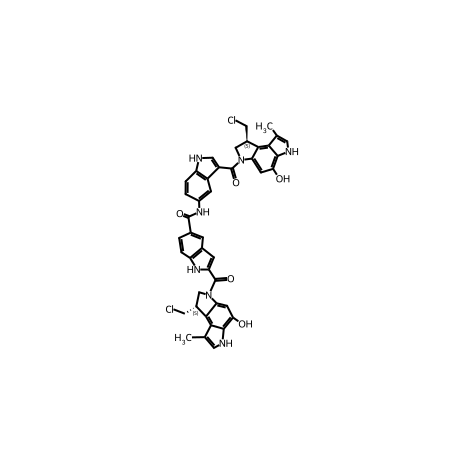 Cc1c[nH]c2c(O)cc3c(c12)[C@H](CCl)CN3C(=O)c1cc2cc(C(=O)Nc3ccc4[nH]cc(C(=O)N5C[C@@H](CCl)c6c5cc(O)c5[nH]cc(C)c65)c4c3)ccc2[nH]1